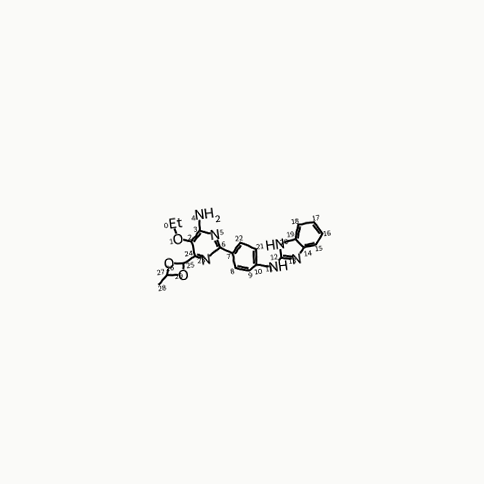 CCOc1c(N)nc(-c2ccc(Nc3nc4ccccc4[nH]3)cc2)nc1C1OC(C)O1